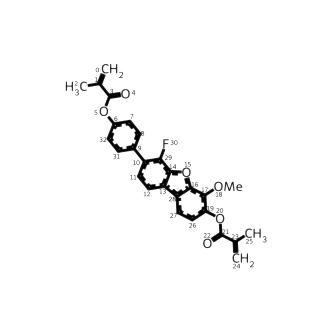 C=C(C)C(=O)Oc1ccc(-c2ccc3c(oc4c(OC)c(OC(=O)C(=C)C)ccc43)c2F)cc1